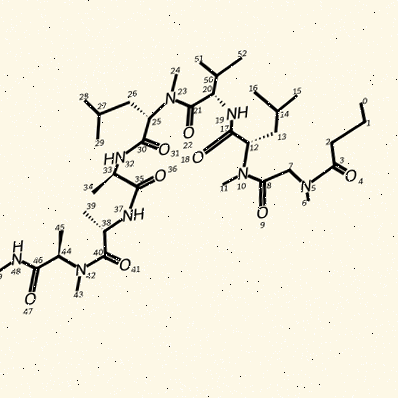 CCCC(=O)N(C)CC(=O)N(C)[C@@H](CC(C)C)C(=O)N[C@H](C(=O)N(C)[C@@H](CC(C)C)C(=O)N[C@H](C)C(=O)N[C@@H](C)C(=O)N(C)[C@H](C)C(=O)NC)C(C)C